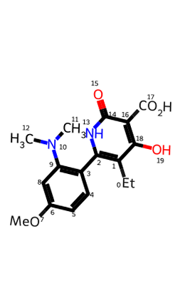 CCc1c(-c2ccc(OC)cc2N(C)C)[nH]c(=O)c(C(=O)O)c1O